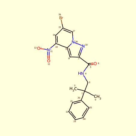 CC(C)(CNC(=O)c1cc2c([N+](=O)[O-])cc(Br)cn2n1)c1ccccc1